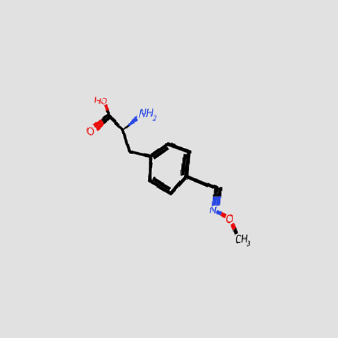 CO/N=C/c1ccc(C[C@H](N)C(=O)O)cc1